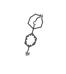 Brc1ccc(C23CCCN(CC2)CC3)cc1